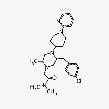 C[C@H]1CN(C2CCN(c3ccccn3)CC2)[C@@H](Cc2ccc(Cl)cc2)CN1CC(=O)N(C)C